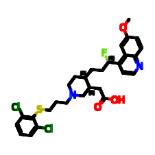 COc1ccc2nccc([C@@H](F)CC[C@@H]3CCN(CCCSc4c(Cl)cccc4Cl)C[C@@H]3CC(=O)O)c2c1